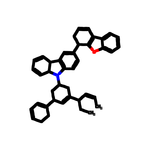 C/C=C\C(CC)C1=CC(C2=CC=CCC2)CC(N2c3ccc(C4CC=Cc5c4oc4ccccc54)cc3C3C=CC=CC32)C1